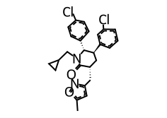 Cc1cc(C[C@H]2C[C@H](c3cccc(Cl)c3)[C@@H](c3ccc(Cl)cc3)N(CC3CC3)C2=O)no1